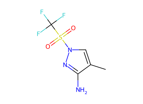 Cc1cn(S(=O)(=O)C(F)(F)F)nc1N